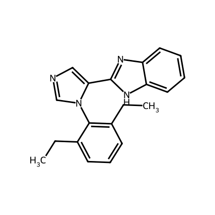 CCc1cccc(CC)c1-n1cncc1-c1nc2ccccc2[nH]1